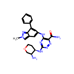 Cn1cc2cc(Nc3nc(N[C@@H]4CCOC[C@@H]4N)nnc3C(N)=O)cc(-c3ccccc3)c2n1